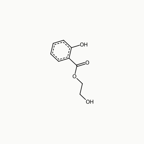 O=C(OCCO)c1ccccc1O